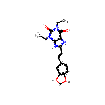 CCn1c(=O)c2[nH]c(C=Cc3ccc4c(c3)OCO4)nc2n(CC)c1=O